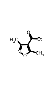 CCC(=O)c1c(C)noc1C